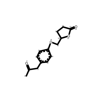 CC(=O)Cc1ccc(OCC2CCC(=O)O2)cc1